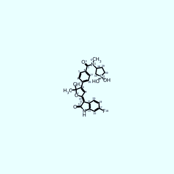 CN(C(=O)c1ccc(C2=CC(=C3C(=O)Nc4cc(F)ccc43)OC2(C)C)cc1)C1CCS(O)(O)C1